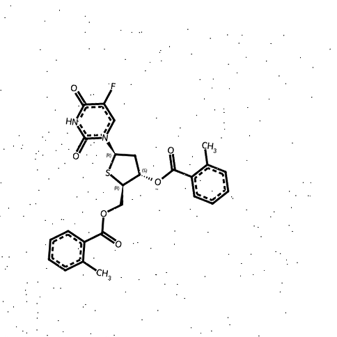 Cc1ccccc1C(=O)OC[C@H]1S[C@@H](n2cc(F)c(=O)[nH]c2=O)C[C@@H]1OC(=O)c1ccccc1C